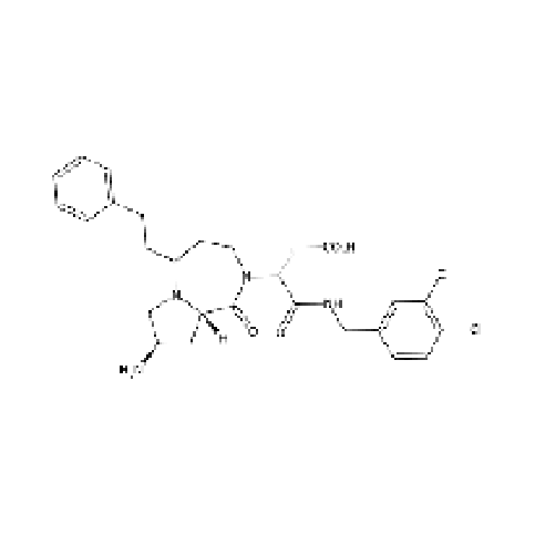 N[C@@H]1C[C@H]2C(=O)N([C@H](CC(=O)O)C(=O)NCc3ccc(Cl)c(Cl)c3)CCC(CCc3ccccc3)N2C1